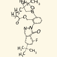 CC(=O)OCc1c(B2CC(C)(C)C(C)(C)O2)cccc1-n1ncc2cc(C(C)(C)C)cc(F)c2c1=O